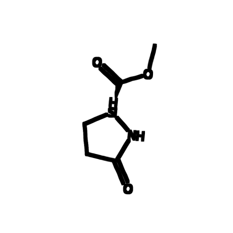 COC(=O)[Si@@H]1CCC(=O)N1